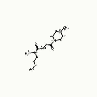 CC(=O)SCCN(C)C(=O)NCC(=O)N1CCN(C)CC1